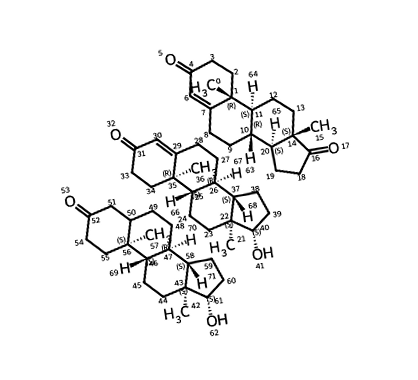 C[C@]12CCC(=O)C=C1CC[C@@H]1[C@@H]2CC[C@]2(C)C(=O)CC[C@@H]12.C[C@]12CC[C@H]3[C@@H](CCC4=CC(=O)CC[C@@]43C)[C@@H]1CC[C@@H]2O.C[C@]12CC[C@H]3[C@@H](CCC4CC(=O)CC[C@@]43C)[C@@H]1CC[C@@H]2O